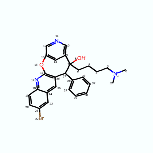 CN(C)CCCCC1(O)c2cncc(c2)Oc2nc3ccc(Br)cc3cc2C1c1ccccc1